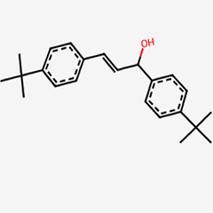 CC(C)(C)c1ccc(/C=C/C(O)c2ccc(C(C)(C)C)cc2)cc1